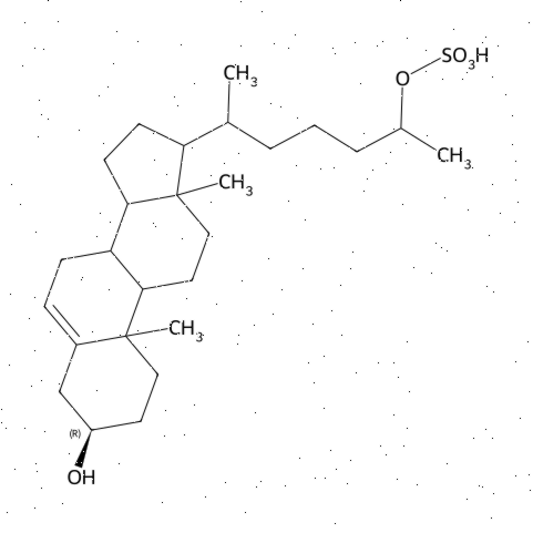 CC(CCCC(C)C1CCC2C3CC=C4C[C@H](O)CCC4(C)C3CCC12C)OS(=O)(=O)O